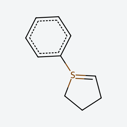 C1=S(c2ccccc2)CCC1